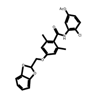 CC(=O)Oc1ccc(Cl)c(NC(=O)c2c(C)cc(OCC3Oc4ccccc4O3)cc2C)c1